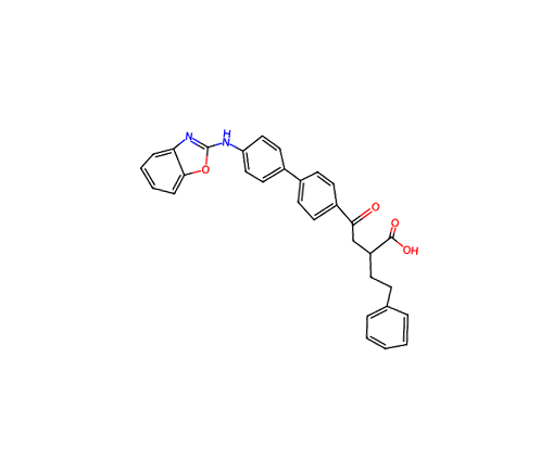 O=C(CC(CCc1ccccc1)C(=O)O)c1ccc(-c2ccc(Nc3nc4ccccc4o3)cc2)cc1